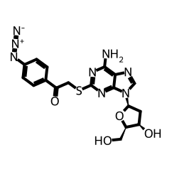 [N-]=[N+]=Nc1ccc(C(=O)CSc2nc(N)c3ncn([C@H]4C[C@@H](O)[C@@H](CO)O4)c3n2)cc1